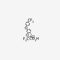 O=C(O)C1(Cl)Cc2ccc(Oc3ccc(C(F)(F)F)cc3)cc2OC1C(F)(F)F